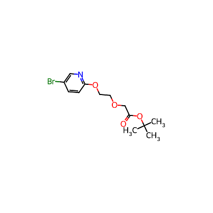 CC(C)(C)OC(=O)COCCOc1ccc(Br)cn1